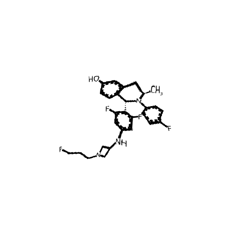 C[C@@H]1Cc2cc(O)ccc2[C@@H](c2c(F)cc(NC3CN(CCCF)C3)cc2F)N1c1ccc(F)cc1